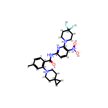 Cc1ccc(C(=O)Nc2ccc([N+](=O)[O-])c(N3CCC(F)(F)CC3)n2)c(N2CCC3(CC2)CC3)c1